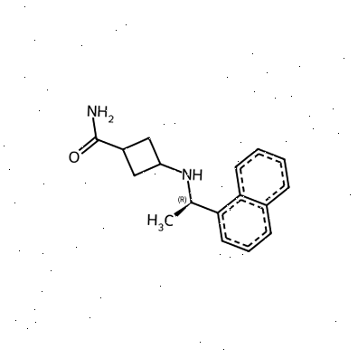 C[C@@H](NC1CC(C(N)=O)C1)c1cccc2ccccc12